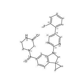 O=C1CN(C(=O)c2ccc3c(c2)N(c2ncc(-c4ccccc4F)cn2)CC32CC2)CCN1